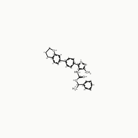 Cc1noc(-c2ccc(-c3ccc4c(c3)OCCC4)cc2)c1NC(=O)OC(C)c1ccccc1